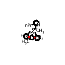 CCCc1cccnc1C(C)[S][Zr]([CH2]c1ccccc1)([CH2]c1ccccc1)[C]1=C(C)CC(C)=C1C